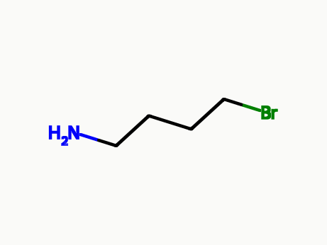 NCCCCBr